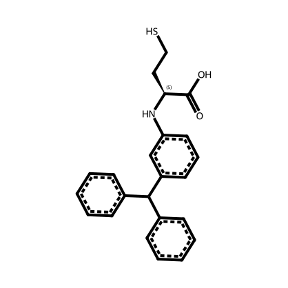 O=C(O)[C@H](CCS)Nc1cccc(C(c2ccccc2)c2ccccc2)c1